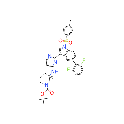 Cc1ccc(S(=O)(=O)n2cc(-c3nccc(N[C@@H]4CCCN(C(=O)OC(C)(C)C)C4)n3)c3cc(-c4c(F)cccc4F)ccc32)cc1